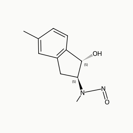 Cc1ccc2c(c1)C[C@H](N(C)N=O)[C@H]2O